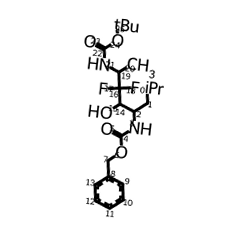 CC(C)CC(NC(=O)OCc1ccccc1)C(O)C(F)(F)C(C)NC(=O)OC(C)(C)C